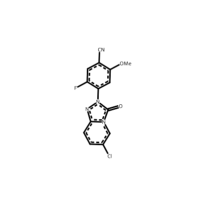 COc1cc(-n2nc3ccc(Cl)cn3c2=O)c(F)cc1C#N